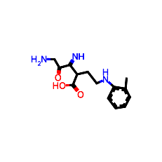 Cc1ccccc1NCCC(C(=N)C(=O)CN)C(=O)O